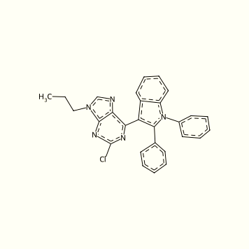 CCCn1cnc2c(-c3c(-c4ccccc4)n(-c4ccccc4)c4ccccc34)nc(Cl)nc21